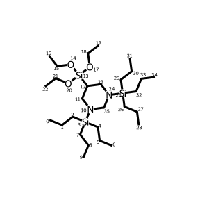 CCC[Si](CCC)(CCC)N1CC([Si](OCC)(OCC)OCC)CN([Si](CCC)(CCC)CCC)C1